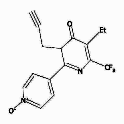 C#CCC1C(=O)C(CC)=C(C(F)(F)F)N=C1c1cc[n+]([O-])cc1